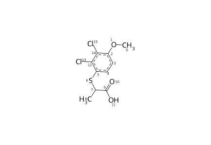 COc1ccc(SC(C)C(=O)O)c(Cl)c1Cl